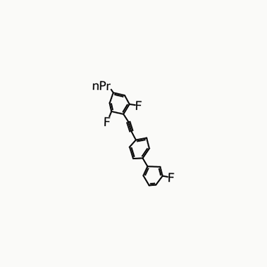 CCCc1cc(F)c(C#Cc2ccc(-c3cccc(F)c3)cc2)c(F)c1